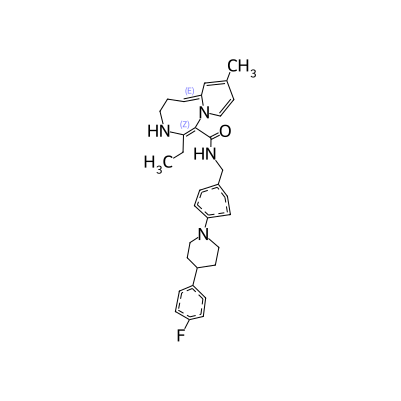 CC/C1=C(\C(=O)NCc2ccc(N3CCC(c4ccc(F)cc4)CC3)cc2)N2C=CC(C)=C/C2=C\CCN1